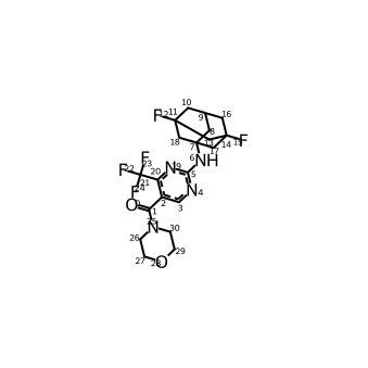 O=C(c1cnc(NC23CC4CC(F)(CC(F)(C4)C2)C3)nc1C(F)(F)F)N1CCOCC1